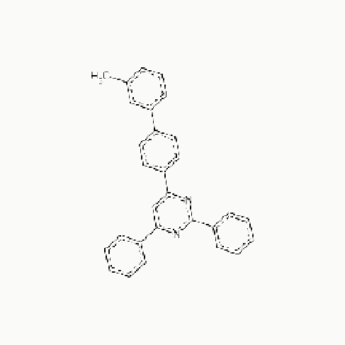 Cc1cccc(-c2ccc(-c3cc(-c4ccccc4)nc(-c4ccccc4)n3)cc2)c1